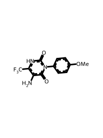 COc1ccc(-n2c(=O)[nH]c(C(F)(F)F)c(N)c2=O)cc1